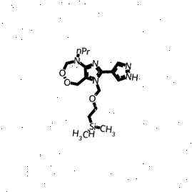 CCCN1COOCc2c1nc(-c1cn[nH]c1)n2COCC[SiH](C)C